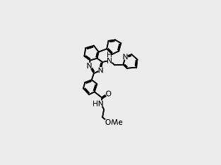 COCCNC(=O)c1cccc(-c2nc(NCc3ccccn3)c3c(-c4ccccc4)cccc3n2)c1